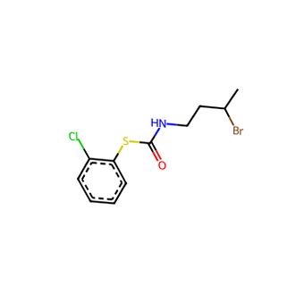 CC(Br)CCNC(=O)Sc1ccccc1Cl